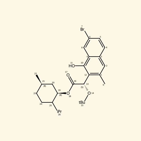 Cc1cc2ccc(Br)cc2c(O)c1[C@H](OC(C)(C)C)C(=O)O[C@@H]1C[C@H](C)CCC1C(C)C